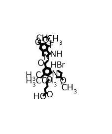 Br.CCOC1CCN(c2cc(C(=O)CN3Cc4cc(OC)c(OC)c(F)c4C3=N)cc(C(C)(C)C)c2OCCCC(=O)O)C1